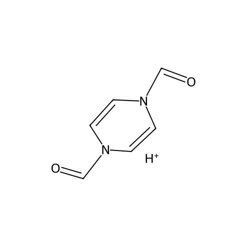 O=CN1C=CN(C=O)C=C1.[H+]